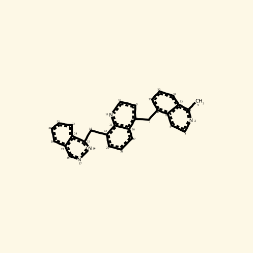 Cc1nccc2c(Cc3ccnc4c(Cc5nncc6ccccc56)cccc34)cccc12